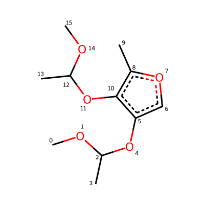 COC(C)Oc1coc(C)c1OC(C)OC